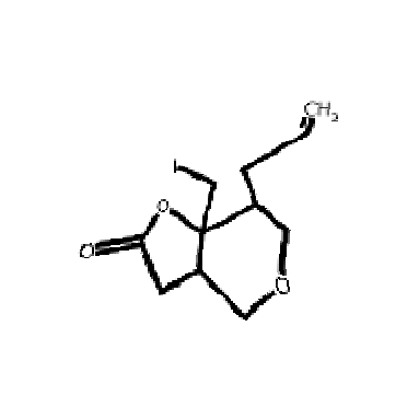 C=CCC1COCC2CC(=O)OC12CI